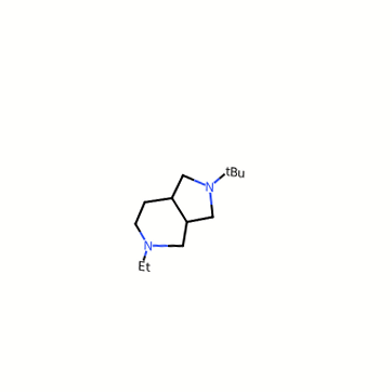 CCN1CCC2CN(C(C)(C)C)CC2C1